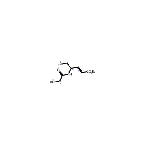 CCOC(=O)/C=C/[C@H](CC(C)C)NC(=O)OC(C)(C)C